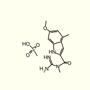 COc1cc(C)c2cc(C(=O)N(C)C(=N)N)[nH]c2c1.CS(=O)(=O)O